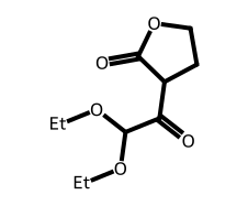 CCOC(OCC)C(=O)C1CCOC1=O